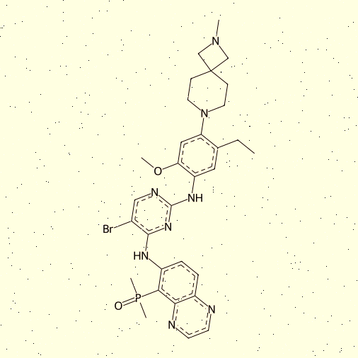 CCc1cc(Nc2ncc(Br)c(Nc3ccc4nccnc4c3P(C)(C)=O)n2)c(OC)cc1N1CCC2(CC1)CN(C)C2